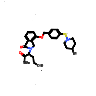 CNC(=O)C(CCC=O)N1Cc2c(OCc3ccc(SN4CCC(C(C)C)CC4)cc3)cccc2C1=O